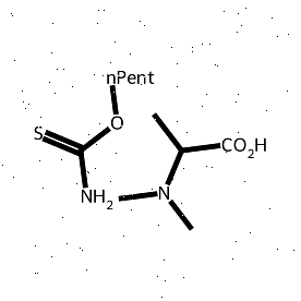 CC(C(=O)O)N(C)C.CCCCCOC(N)=S